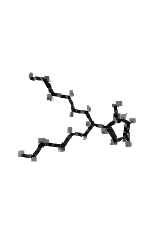 CCCCCCC(CCCCCC)c1cncn1C